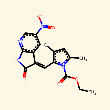 CCOC(=O)n1c(C)cc(C)c1C=C1C(=O)Nc2ncc([N+](=O)[O-])cc21